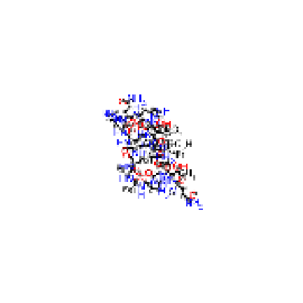 CC[C@H](C)[C@H](NC(=O)[C@@H]1CCCN1C(=O)[C@H](CC(C)C)NC(=O)[C@@H](NC(=O)[C@@H](N)CCC(N)=O)[C@@H](C)O)C(=O)N[C@@H](CC(C)C)C(=O)N[C@@H](CCC(=O)O)C(=O)N[C@@H](CCC(=O)O)C(=O)N[C@@H](CC(C)C)C(=O)N[C@@H](Cc1c[nH]cn1)C(=O)N[C@@H](CCC(N)=O)C(=O)N[C@@H](Cc1c[nH]cn1)C(=O)N[C@H](C(=O)N[C@@H](CCC(=O)O)C(=O)N[C@@H](CCC(N)=O)C(=O)N[C@@H](CC(C)C)C(=O)O)[C@@H](C)O